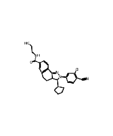 N#Cc1ccc(N2N=C3c4ccc(C(=O)NCCO)cc4CCC3C2C2CCCC2)cc1Cl